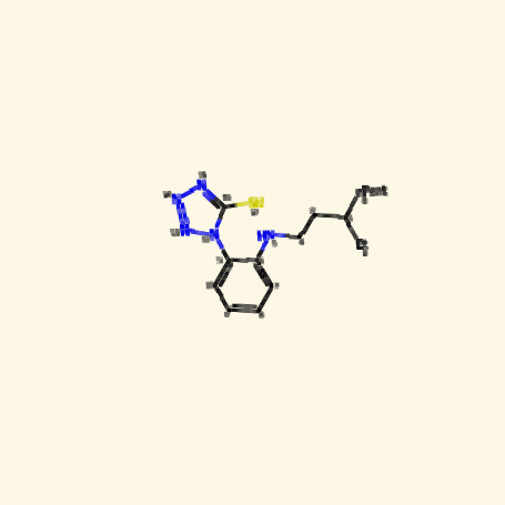 CCCCCC(CC)CCNc1ccccc1-n1nnnc1S